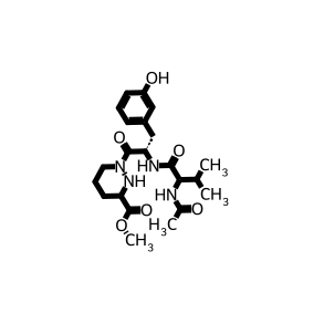 COC(=O)C1CCCN(C(=O)[C@H](Cc2cccc(O)c2)NC(=O)C(NC(C)=O)C(C)C)N1